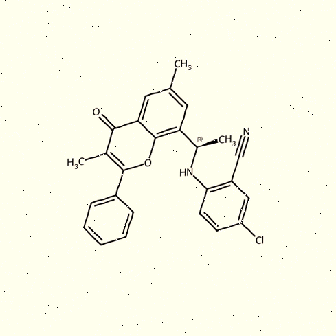 Cc1cc([C@@H](C)Nc2ccc(Cl)cc2C#N)c2oc(-c3ccccc3)c(C)c(=O)c2c1